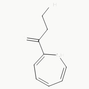 [CH2]CCC(=O)C1=CC=CC=CN1